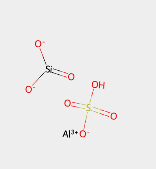 O=S(=O)([O-])O.O=[Si]([O-])[O-].[Al+3]